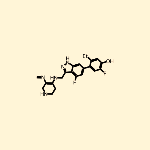 C=NC1=C(NCc2n[nH]c3cc(-c4cc(F)c(O)cc4CC)cc(F)c23)CCNC1